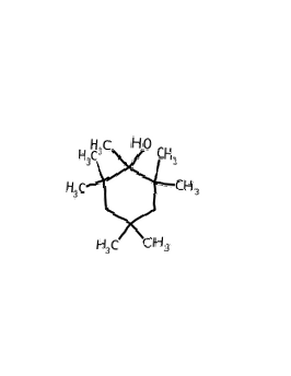 CC1(C)CC(C)(C)C(C)(O)C(C)(C)C1